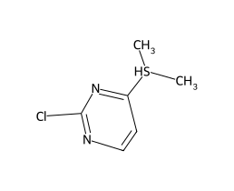 C[SH](C)c1ccnc(Cl)n1